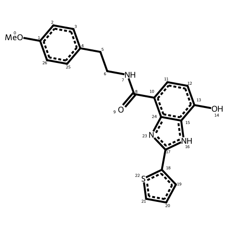 COc1ccc(CCNC(=O)c2ccc(O)c3[nH]c(-c4cccs4)nc23)cc1